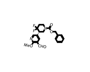 COc1ncc([C@H]2CN(C(=O)OCc3ccccc3)CCC2(F)F)cc1C=O